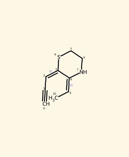 C#C/C=C1/SCCN/C1=C/C